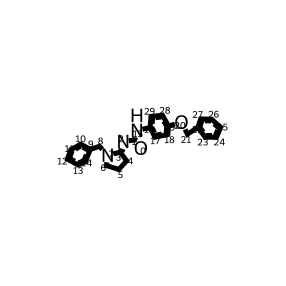 O=C(N=C1CCCN1Cc1ccccc1)Nc1ccc(OCc2ccccc2)cc1